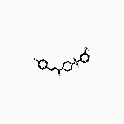 Cc1cccc(S(=O)(=O)N2CCN(C(=O)/C=C/c3ccc(F)cc3)CC2)c1